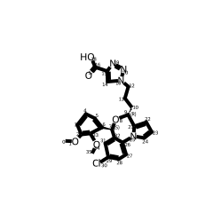 COc1cccc([C@H]2O[C@H](CCCn3cc(C(=O)O)nn3)c3cccn3-c3ccc(Cl)cc32)c1OC